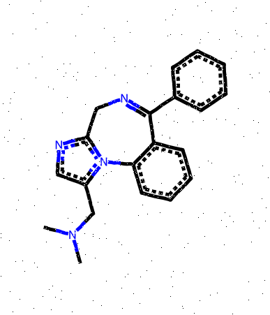 CN(C)Cc1cnc2n1-c1ccccc1C(c1ccccc1)=NC2